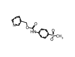 CS(=O)(=O)c1ccc(NC(=O)OCc2cccnc2)cc1